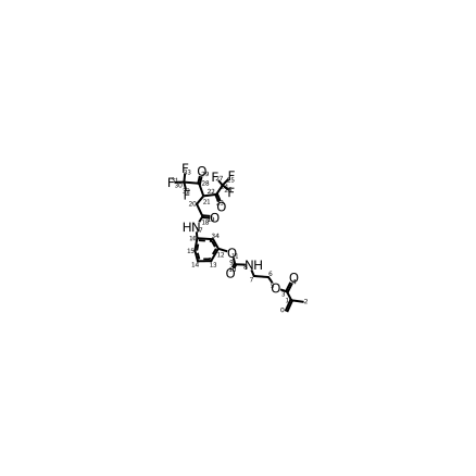 C=C(C)C(=O)OCCNC(=O)Oc1cccc(NC(=O)CC(C(=O)C(F)(F)F)C(=O)C(F)(F)F)c1